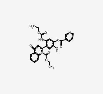 CCOC(=O)Nc1cc(OC(=O)c2cccnc2)c(O)cc1-c1cc(=O)c2ccccc2n1C(=O)OCC